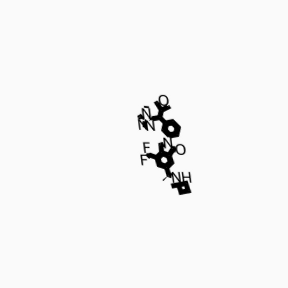 C[C@@H](NC1(C)CCC1)c1cc2c(c(C(F)F)c1)CN(c1cccc(C(c3nncn3C)C3COC3)c1)C2=O